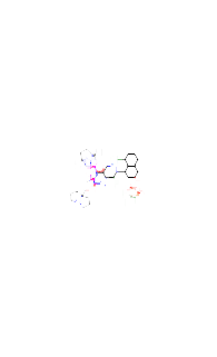 CC(C)(C)OC(=O)N1[C@@H]2CC[C@H]1CN(c1nc(OCC34CCCN3CCC4)nc3c(F)c(-c4cc(OS(=O)(=O)C(F)(F)F)cc5cccc(Cl)c45)ncc13)C2